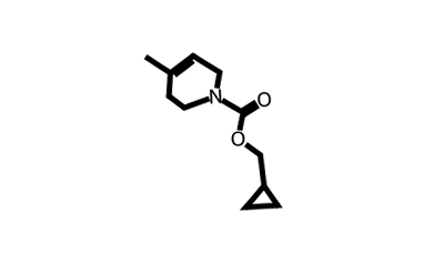 CC1=CCN(C(=O)OCC2CC2)CC1